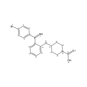 N=C(c1ccc(Br)cc1)c1ccccc1OC1CCN(C(=O)O)CC1